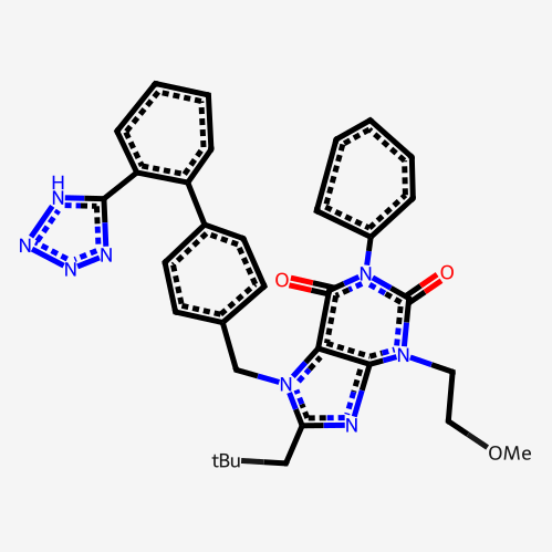 COCCn1c(=O)n(-c2ccccc2)c(=O)c2c1nc(CC(C)(C)C)n2Cc1ccc(-c2ccccc2-c2nnn[nH]2)cc1